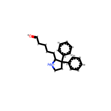 O=CCCCCC1NCCC1(c1ccccc1)c1ccccc1